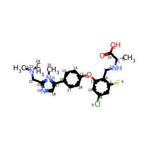 C[C@H](NCc1c(F)cc(Cl)cc1Oc1ccc(-c2cnc(CN(C)C)n2C)cc1)C(=O)O